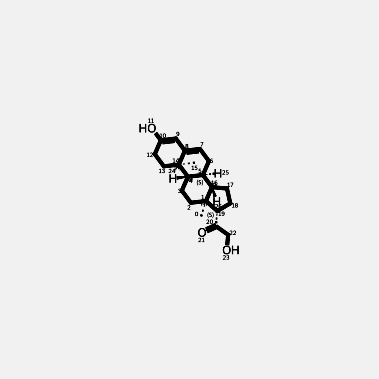 C[C@]12CC[C@H]3[C@@H](CC=C4C=C(O)CC[C@@]43C)[C@@H]1CC[C@@H]2C(=O)CO